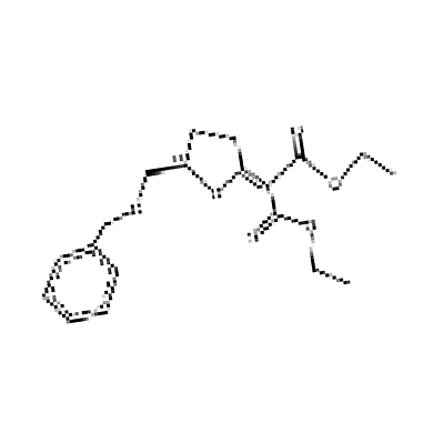 CCOC(=O)C(C(=O)OCC)=C1CC[C@H](COCc2ccccc2)O1